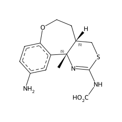 C[C@]12N=C(NC(=O)O)SC[C@H]1CCOc1ccc(N)cc12